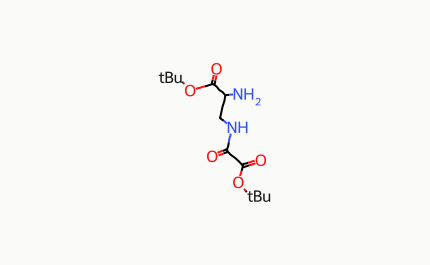 CC(C)(C)OC(=O)C(=O)NCC(N)C(=O)OC(C)(C)C